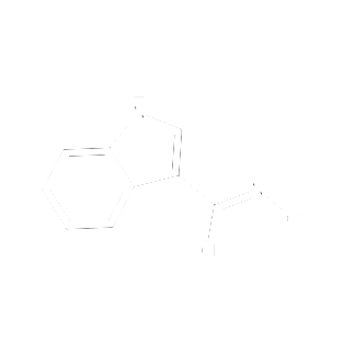 C/C(=N\O)c1c[nH]c2ccccc12